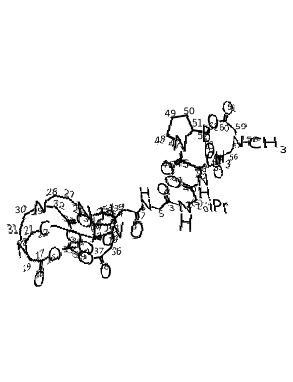 CC(C)[C@H](NC(=O)CNC(=O)CC[C@@H]1C(=O)OC23OC(=O)CN4CCN(CCN1CCN(CC4)CC(=O)O2)CC(=O)O3)C(=O)N[C@H](C)C(=O)N1CCCC1B1OC(=O)CN(C)CC(=O)O1